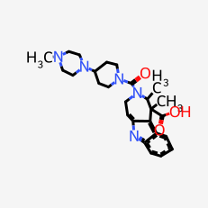 CC1N(C(=O)N2CCC(N3CCN(C)CC3)CC2)CC=C2N=c3ccccc3=C2C1(C)C(=O)O